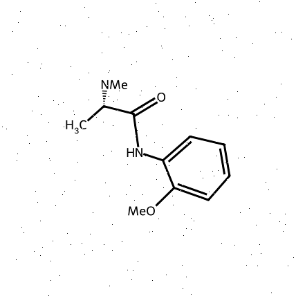 CN[C@@H](C)C(=O)Nc1ccccc1OC